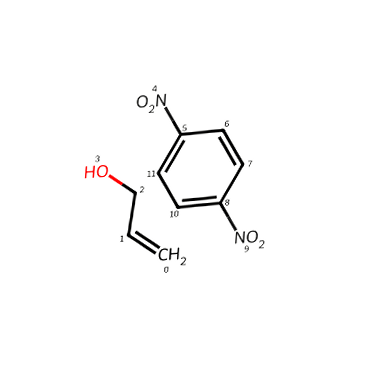 C=CCO.O=[N+]([O-])c1ccc([N+](=O)[O-])cc1